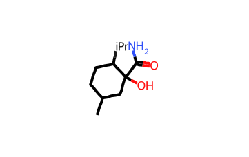 CC1CCC(C(C)C)C(O)(C(N)=O)C1